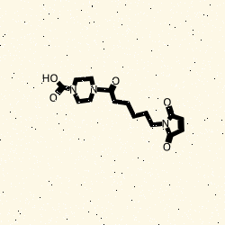 O=C(O)N1CCN(C(=O)CCCCCN2C(=O)C=CC2=O)CC1